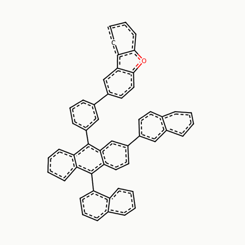 c1cc(-c2ccc3oc4ccccc4c3c2)cc(-c2c3ccccc3c(-c3cccc4ccccc34)c3ccc(-c4ccc5ccccc5c4)cc23)c1